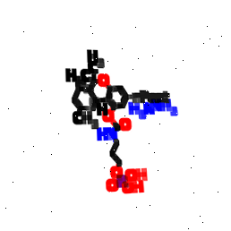 CCCCCc1cc(OC(=O)NCCCOP(=O)(O)O)c2c(c1)OC(C)(C)[C@@H]1CC=C(C)C[C@@H]21.N.N